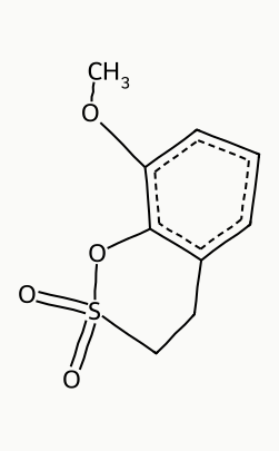 COc1cccc2c1OS(=O)(=O)CC2